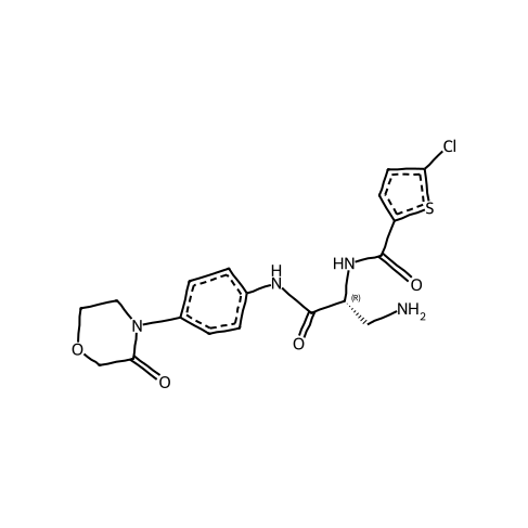 NC[C@@H](NC(=O)c1ccc(Cl)s1)C(=O)Nc1ccc(N2CCOCC2=O)cc1